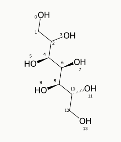 OCC(O)[C@H](O)[C@@H](O)[C@H](O)[C@H](O)CO